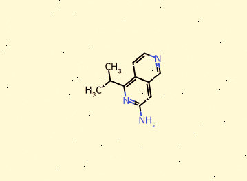 CC(C)c1nc(N)cc2cnccc12